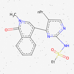 CCCc1cnc(NS(=O)(=O)CC)nc1-c1cn(C)c(=O)c2ccccc12